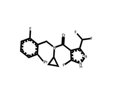 CC(C)c1cccc(F)c1CN(C(=O)c1c(C(F)F)n[nH]c1F)C1CC1